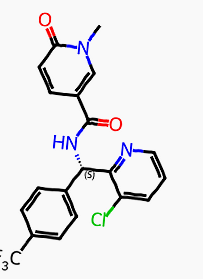 Cn1cc(C(=O)N[C@@H](c2ccc(C(F)(F)F)cc2)c2ncccc2Cl)ccc1=O